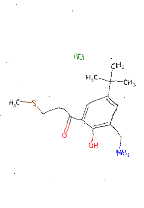 CSCCC(=O)c1cc(C(C)(C)C)cc(CN)c1O.Cl